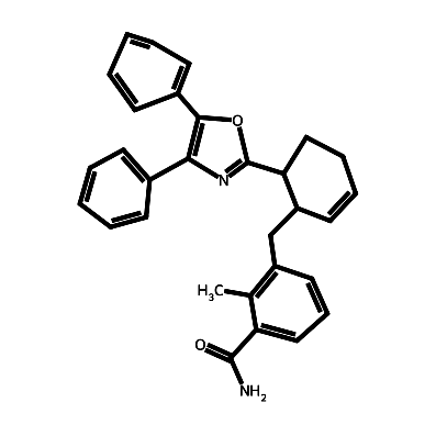 Cc1c(CC2C=CCCC2c2nc(-c3ccccc3)c(-c3ccccc3)o2)cccc1C(N)=O